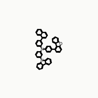 c1cc(-c2cccc3ccccc23)cc(N(c2ccc(-c3cccc4oc5ccccc5c34)cc2)c2cccc(-n3c4ccccc4c4ccccc43)c2)c1